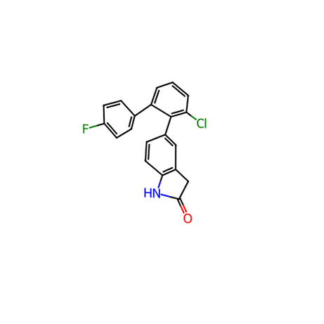 O=C1Cc2cc(-c3c(Cl)cccc3-c3ccc(F)cc3)ccc2N1